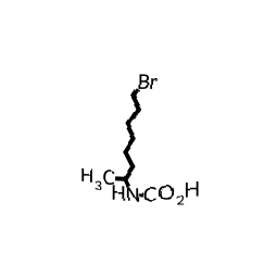 CC(CCCCCCBr)NC(=O)O